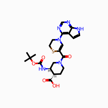 CC(C)(C)OC(=O)N[C@H]1CN(C(=O)C2=CN(c3ncnc4[nH]ccc34)CCS2)CC[C@@H]1C(=O)O